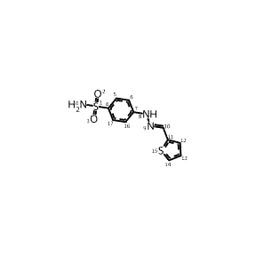 NS(=O)(=O)c1ccc(N/N=C/c2cccs2)cc1